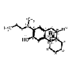 CCCN(C)c1cc2c(cc1O)[C@@]13CCCC[C@H]1[C@@H](C2)NCC3